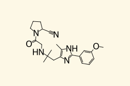 COc1cccc(-c2nc(CC(C)(C)NCC(=O)N3CCCC3C#N)c(C)[nH]2)c1